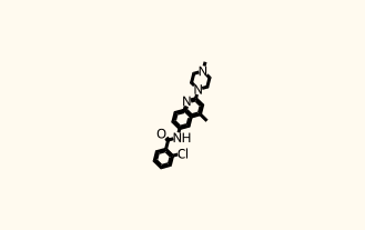 Cc1cc(N2CCN(C)CC2)nc2ccc(NC(=O)c3ccccc3Cl)cc12